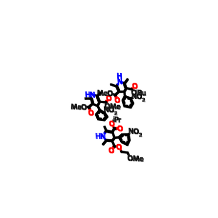 COC(=O)C1=C(C)NC(C)=C(C(=O)OC)C1c1ccccc1[N+](=O)[O-].COC(=O)C1=C(C)NC(C)=C(C(=O)OCC(C)C)C1c1ccccc1[N+](=O)[O-].COCCOC(=O)C1=C(C)NC(C)=C(C(=O)OC(C)C)C1c1cccc([N+](=O)[O-])c1